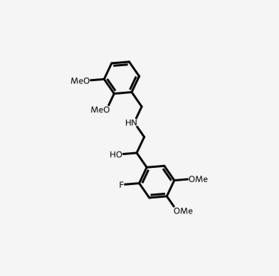 COc1cc(F)c(C(O)CNCc2cccc(OC)c2OC)cc1OC